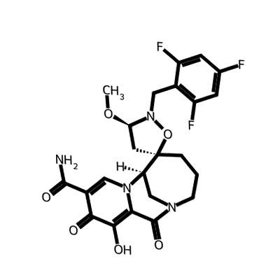 CO[C@@H]1C[C@@]2(CCCN3C[C@H]2n2cc(C(N)=O)c(=O)c(O)c2C3=O)ON1Cc1c(F)cc(F)cc1F